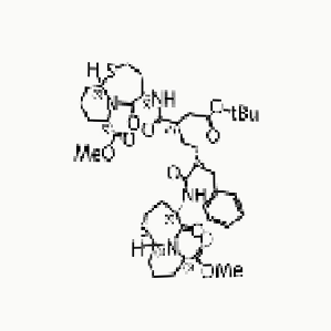 COC(=O)[C@@H]1CCC[C@@H]2SCC[C@H](NC(=O)[C@H](CC[C@H](Cc3ccccc3)C(=O)N[C@H]3CCS[C@H]4CCC[C@@H](C(=O)OC)N4C3=O)CC(=O)OC(C)(C)C)C(=O)N21